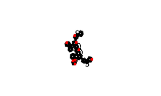 Cc1c2c(cc3c1Oc1cc(-c4ccc5sc6ccccc6c5c4)cc4c1B3c1cccc3c5ccccc5n-4c13)B1c3c(cc(-c4ccc5sc6ccccc6c5c4)cc3-n3c4ccccc4c4cccc1c43)O2